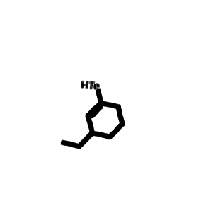 CCC1C=C([TeH])CCC1